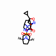 CN1C2CCC1CN(S(=O)(=O)N1[C@@H]3CC[C@H]1C[C@@H](NC(=O)c1cc(C4CC4)on1)C3)C2